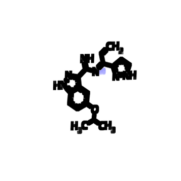 C=C/C(=N\C(=N)c1n[nH]c2ccc(OC(C)C)cc12)c1cc[nH]n1